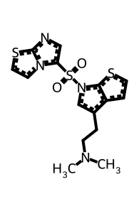 CN(C)CCc1cn(S(=O)(=O)c2cnc3sccn23)c2sccc12